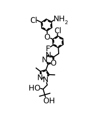 Cc1nn(CC(O)C(C)(C)O)c(C)c1-c1nnc(Cc2ccc(Cl)c(Oc3cc(N)cc(Cl)c3)c2F)o1